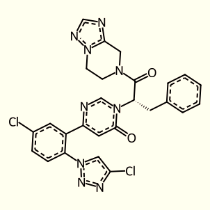 O=C([C@H](Cc1ccccc1)n1cnc(-c2cc(Cl)ccc2-n2cc(Cl)nn2)cc1=O)N1CCn2ncnc2C1